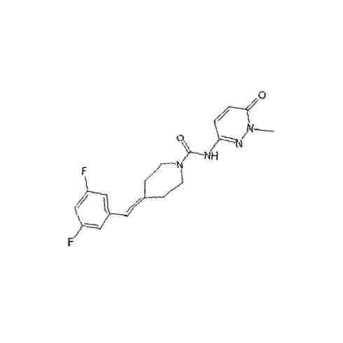 Cn1nc(NC(=O)N2CCC(=Cc3cc(F)cc(F)c3)CC2)ccc1=O